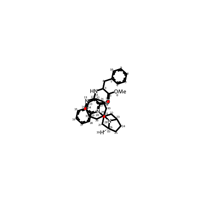 COC(=O)C(Cc1ccccc1)Nc1nc2ccccc2n(C2CC3CC[C@@H](C2)N3C2CCCCCCC2)c1=O